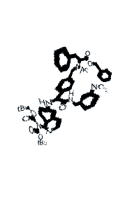 CC(=O)N(Cc1ccc(C(Nc2ccc3c(N(C(=O)OC(C)(C)C)C(=O)OC(C)(C)C)nccc3c2)C(=O)NCc2cccc([N+](=O)[O-])c2)cc1)C(Cc1ccccc1)C(=O)OCc1ccccc1